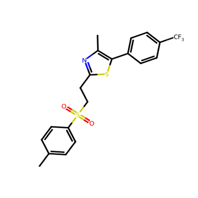 Cc1ccc(S(=O)(=O)CCc2nc(C)c(-c3ccc(C(F)(F)F)cc3)s2)cc1